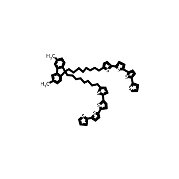 Cc1ccc2c(c1)-c1cc(C)ccc1C2(CCCCCCCCc1ccc(-c2ccc(-c3ccc(-c4cccs4)s3)s2)s1)CCCCCCCCc1ccc(-c2ccc(-c3ccc(-c4cccs4)s3)s2)s1